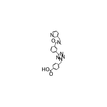 CN(Cc1cccnc1)C(=O)c1cccc(-c2nnn(Cc3ccc(C(=O)O)cc3)n2)c1